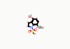 CC(C)(C)c1ccc(Br)c2c1N(S(C)(=O)=O)CC2